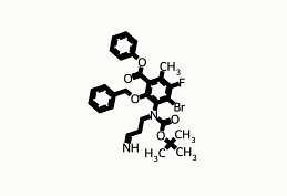 Cc1c(F)c(Br)c(N(CCC=N)C(=O)OC(C)(C)C)c(OCc2ccccc2)c1C(=O)Oc1ccccc1